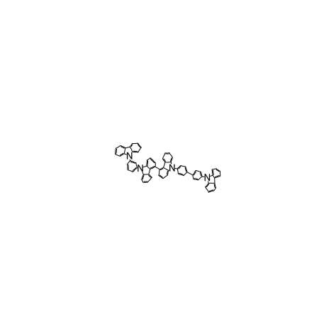 c1cc(-n2c3ccccc3c3ccccc32)cc(-n2c3ccccc3c3c(-c4cccc5c4c4ccccc4n5-c4ccc(-c5ccc(-n6c7ccccc7c7ccccc76)cc5)cc4)cccc32)c1